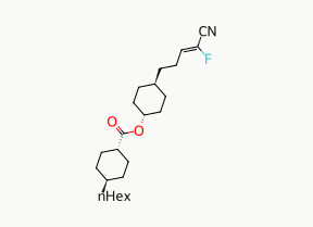 CCCCCC[C@H]1CC[C@H](C(=O)O[C@H]2CC[C@H](CCC=C(F)C#N)CC2)CC1